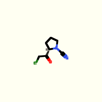 N#CN1CCC[C@H]1C(=O)CCl